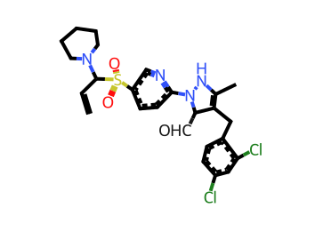 C=CC(N1CCCCC1)S(=O)(=O)c1ccc(N2NC(C)=C(Cc3ccc(Cl)cc3Cl)C2C=O)nc1